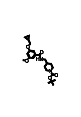 COc1cc(OCC2CC2)cc(C(=O)NCC2CCN(C(=O)OC(C)(C)C)CC2)c1